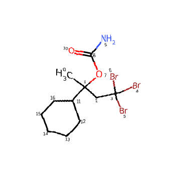 CC(CC(Br)(Br)Br)(OC(N)=O)C1CCCCC1